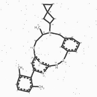 Cc1cccc(C)c1-c1cc2nc(n1)NSc1cccc(c1)CN(C1CC3(CC3)C1)C(C)CO2